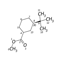 COC(=O)C1CCC[C@@H](C(C)(C)C)C1